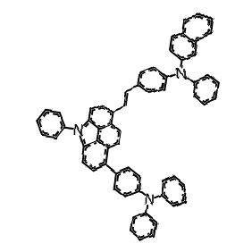 C(=C\c1ccc2c3c1ccc1c(-c4ccc(N(c5ccccc5)c5ccccc5)cc4)ccc(c13)n2-c1ccccc1)/c1ccc(N(c2ccccc2)c2ccc3ccccc3c2)cc1